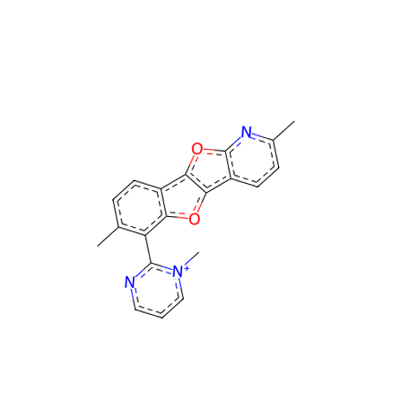 Cc1ccc2c(n1)oc1c3ccc(C)c(-c4nccc[n+]4C)c3oc21